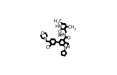 CC1=CC(C)=C(CNC(=O)c2cc(-c3ccc(CN4CCOCC4)c(Cl)c3)cc3c2cnn3C2CCCC2)C(O)N1